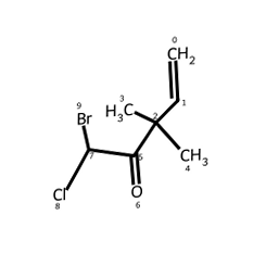 C=CC(C)(C)C(=O)C(Cl)Br